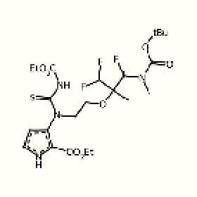 CCOC(=O)NC(=S)N(CCOC(C)(C(F)F)C(F)N(C)C(=O)OC(C)(C)C)c1cc[nH]c1C(=O)OCC